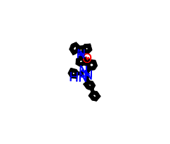 c1ccc(-c2ccc(C3=NC(c4cccc5oc6c(-n7c8ccccc8c8ccccc87)cccc6c45)=NC(c4ccccc4)N3)cc2)cc1